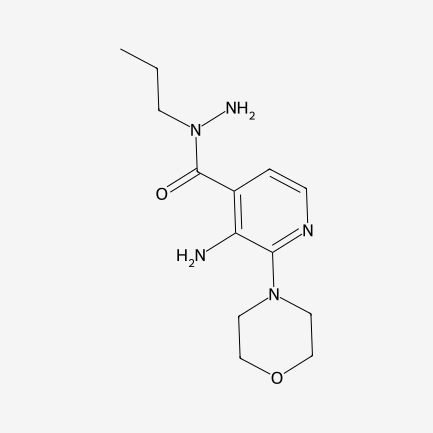 CCCN(N)C(=O)c1ccnc(N2CCOCC2)c1N